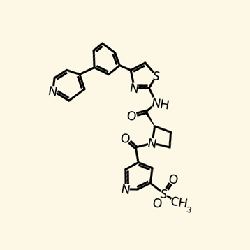 CS(=O)(=O)c1cncc(C(=O)N2CC[C@@H]2C(=O)Nc2nc(-c3cccc(-c4ccncc4)c3)cs2)c1